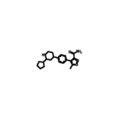 Cc1onc(C(N)=O)c1-c1ccc(C2CCNC(C3CCCC3)C2)cc1